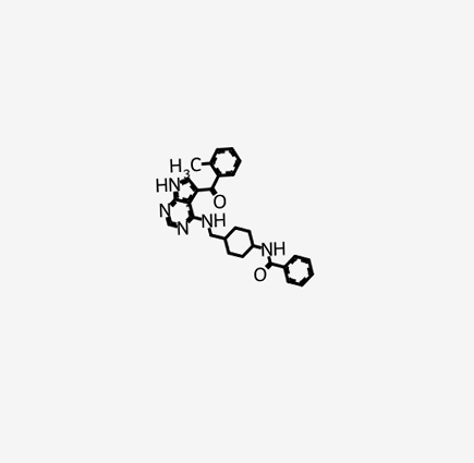 Cc1ccccc1C(=O)c1c[nH]c2ncnc(NCC3CCC(NC(=O)c4ccccc4)CC3)c12